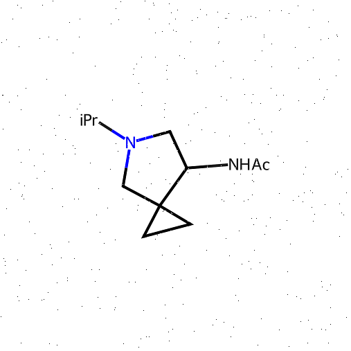 CC(=O)NC1CN(C(C)C)CC12CC2